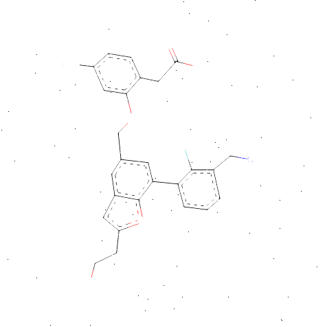 Cc1ccc(CC(=O)O)c(OCc2cc(-c3cccc(CN)c3F)c3oc(CCO)cc3c2)c1